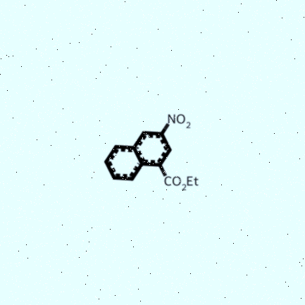 CCOC(=O)c1cc([N+](=O)[O-])cc2ccccc12